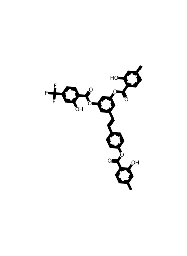 Cc1ccc(C(=O)Oc2ccc(/C=C/c3cc(OC(=O)c4ccc(C)cc4O)cc(OC(=O)c4ccc(C(F)(F)F)cc4O)c3)cc2)c(O)c1